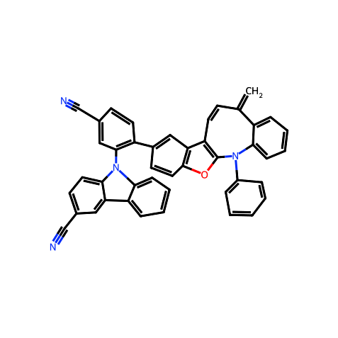 C=C1/C=C\c2c(oc3ccc(-c4ccc(C#N)cc4-n4c5ccccc5c5cc(C#N)ccc54)cc23)N(c2ccccc2)c2ccccc21